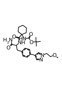 COCCn1cc(-c2ccc(CC(NC(=O)C3(NC(=O)OC(C)(C)C)CCCCC3)C(N)=O)cc2)cn1